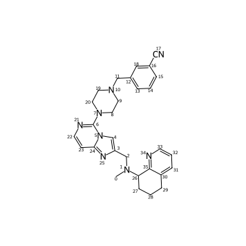 CN(Cc1cn2c(N3CCN(Cc4cccc(C#N)c4)CC3)nccc2n1)C1CCCc2cccnc21